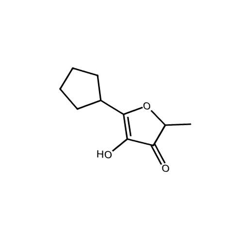 CC1OC(C2CCCC2)=C(O)C1=O